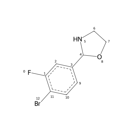 Fc1cc(C2NCCO2)ccc1Br